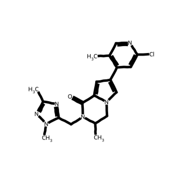 Cc1nc(CN2C(=O)c3cc(-c4cc(Cl)ncc4C)cn3CC2C)n(C)n1